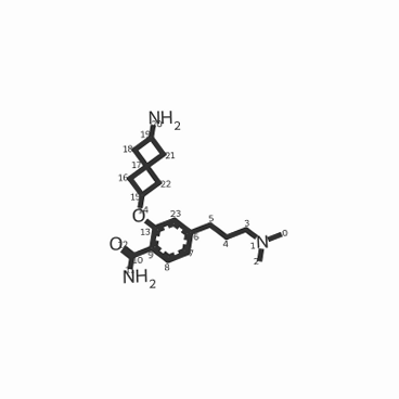 CN(C)CCCc1ccc(C(N)=O)c(OC2CC3(CC(N)C3)C2)c1